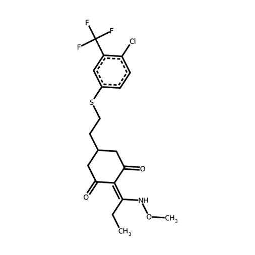 CCC(NOC)=C1C(=O)CC(CCSc2ccc(Cl)c(C(F)(F)F)c2)CC1=O